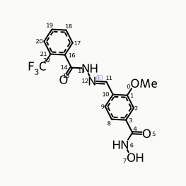 COc1cc(C(=O)NO)ccc1/C=N/NC(=O)c1ccccc1C(F)(F)F